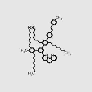 CCCCCCCCc1cc(-c2cc(-c3ccc4ccc5cccnc5c4n3)cc(-c3cc(CCCCCCCC)c(-c4ccc(/C=C/c5ccc(C)cc5)cc4)cc3CCCCCCCC)c2)c(CCCCCCCC)cc1C